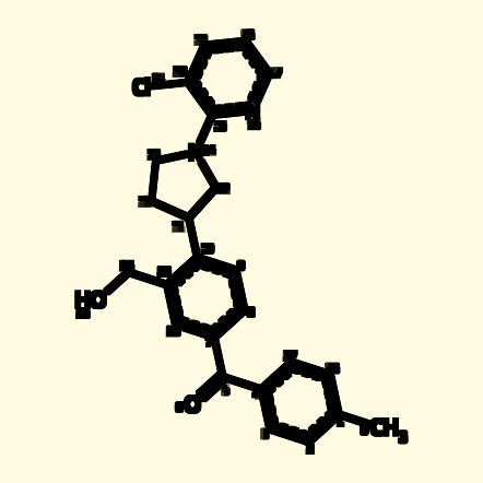 Cc1ccc(C(=O)c2ccc(C3CCN(c4ncccc4Cl)C3)c(CO)c2)cc1